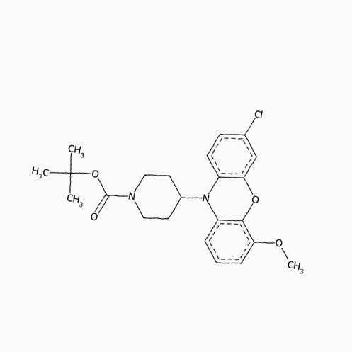 COc1cccc2c1Oc1cc(Cl)ccc1N2C1CCN(C(=O)OC(C)(C)C)CC1